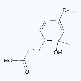 COC1=CC(C)(O)C(CCC(=O)O)C=C1